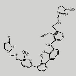 COc1nc(-c2ccnc(-c3cccc(Nc4nccc(CNC[C@H]5CCC(=O)N5)c4OC)c3Cl)c2Cl)ccc1CNC[C@@H]1CCC(=O)N1